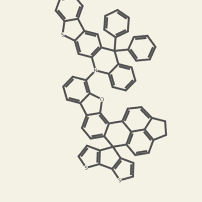 c1ccc(C2(c3ccccc3)c3ccccc3N(c3cccc4c3oc3c5c(ccc34)C3(c4ccsc4-c4sccc43)c3ccc4c6c(ccc-5c36)CC4)c3cc4sc5ccccc5c4cc32)cc1